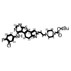 CC(C)(C)OC(=O)N1CCN(CCn2cc3c(n2)CCc2c-3sc3ncnc(Nc4ccc(F)c(Cl)c4)c23)CC1